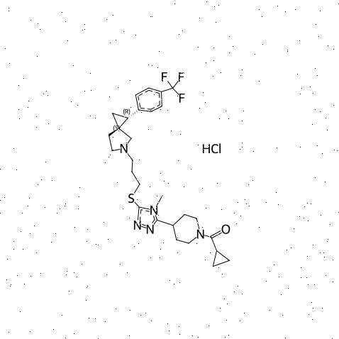 Cl.Cn1c(SCCCN2CC[C@]3(C[C@@H]3c3ccc(C(F)(F)F)cc3)C2)nnc1C1CCN(C(=O)C2CC2)CC1